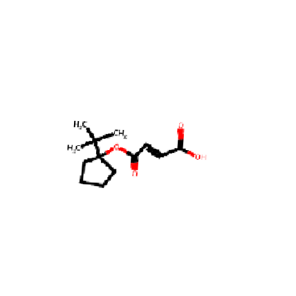 CC(C)(C)C1(OC(=O)C=CC(=O)O)CCCC1